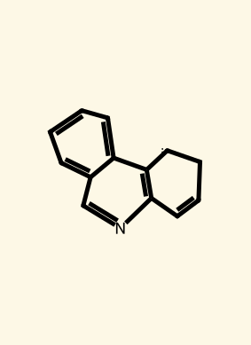 [C]1CC=Cc2ncc3ccccc3c21